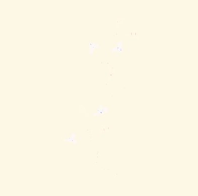 COc1cc2nccc(Oc3ccc(NC(=O)c4cn5c(c(-c6ccc(F)cc6)c4=O)CCCC5)cc3F)c2nc1OC